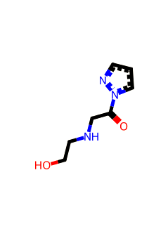 O=C(CNCCO)n1cccn1